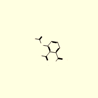 O=C(O)Oc1cccc(C(=O)O)c1C(=O)O